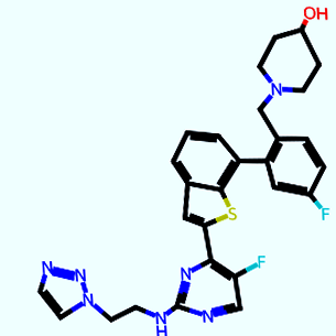 OC1CCN(Cc2ccc(F)cc2-c2cccc3cc(-c4nc(NCCn5ccnn5)ncc4F)sc23)CC1